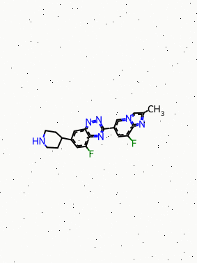 Cc1cn2cc(-c3nnc4cc(C5CCNCC5)cc(F)c4n3)cc(F)c2n1